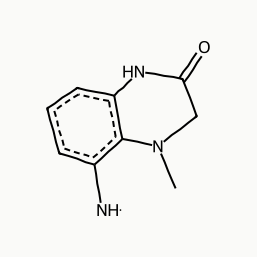 CN1CC(=O)Nc2cccc([NH])c21